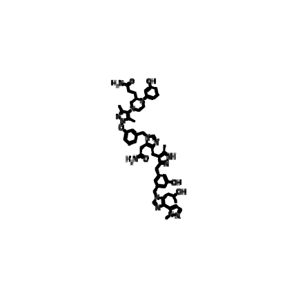 Cc1nn(Oc2cccc(Cn3cnc(Cc4c(Cc5cc(O)cc(Cn6cnc(-c7ccnn7C)c6CC(C)O)c5)n[nH]c4C)c3CC(N)=O)c2)c(C)c1N1CCN(c2cccc(O)c2)C(CCC(N)=O)C1